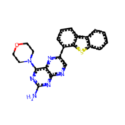 Nc1nc(N2CCOCC2)c2nc(-c3cccc4c3sc3ccccc34)cnc2n1